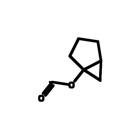 O=[C]OC12CCCC1C2